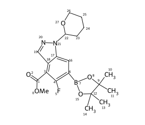 COC(=O)c1c(F)c(B2OC(C)(C)C(C)(C)O2)cc2c1cnn2C1CCCCO1